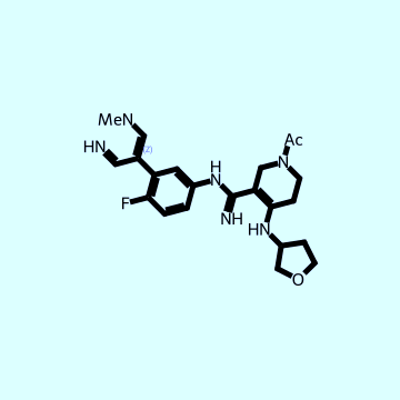 CN/C=C(\C=N)c1cc(NC(=N)C2=C(NC3CCOC3)CCN(C(C)=O)C2)ccc1F